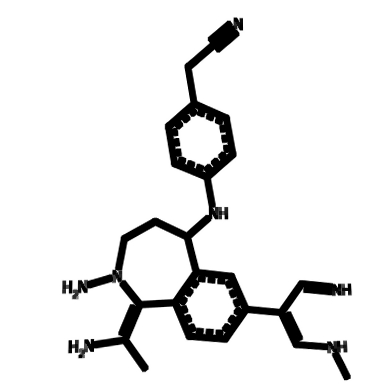 CN/C=C(\C=N)c1ccc2c(c1)C(Nc1ccc(CC#N)cc1)CCN(N)/C2=C(/C)N